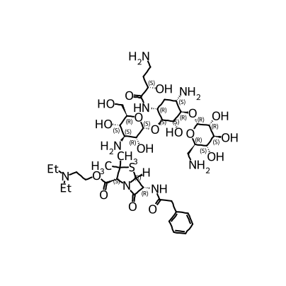 CCN(CC)CCOC(=O)[C@@H]1N2C(=O)[C@@H](NC(=O)Cc3ccccc3)[C@H]2SC1(C)C.NCC[C@H](O)C(=O)N[C@@H]1C[C@H](N)[C@@H](O[C@H]2O[C@H](CN)[C@@H](O)[C@H](O)[C@H]2O)[C@H](O)[C@H]1O[C@H]1O[C@H](CO)[C@@H](O)[C@H](N)[C@H]1O